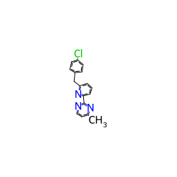 Cc1ccnc(-c2cccc(Cc3ccc(Cl)cc3)n2)n1